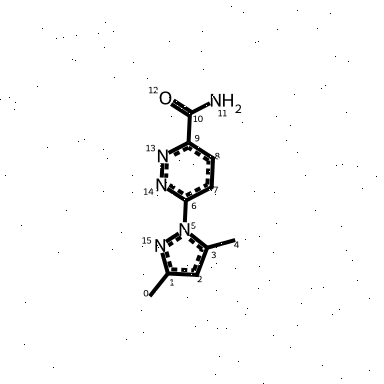 Cc1cc(C)n(-c2ccc(C(N)=O)nn2)n1